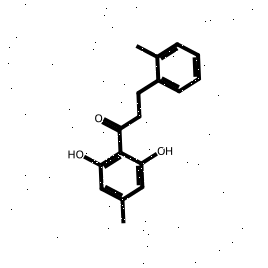 Cc1cc(O)c(C(=O)CCc2ccccc2C)c(O)c1